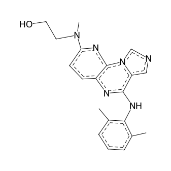 Cc1cccc(C)c1Nc1nc2ccc(N(C)CCO)nc2n2cncc12